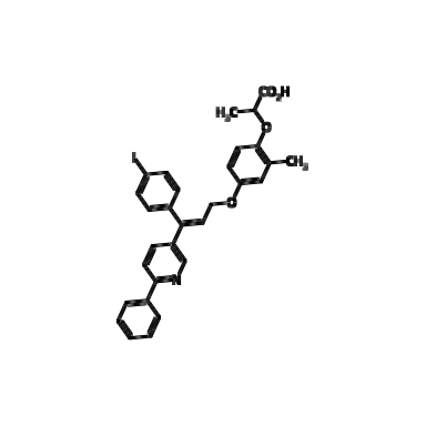 Cc1cc(OC/C=C(\c2ccc(I)cc2)c2ccc(-c3ccccc3)nc2)ccc1OC(C)C(=O)O